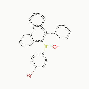 [O-][S+](c1ccc(Br)cc1)c1c(-c2ccccc2)c2ccccc2c2ccccc12